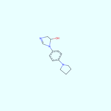 OC1CN=CN1c1ccc(N2CCCC2)cc1